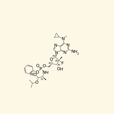 CC(C)OC(O)[C@H](C)NP(=O)(OC[C@H]1O[C@@H](n2cnc3c(N(C)C4CC4)nc(N)nc32)[C@](C)(F)[C@@H]1O)Oc1ccccc1